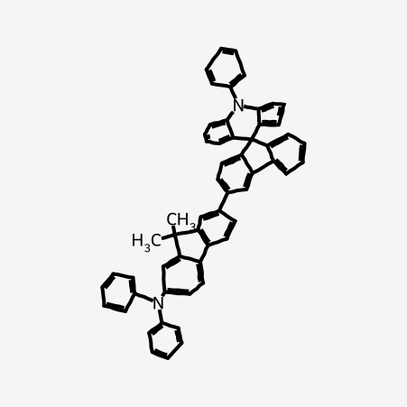 CC1(C)c2cc(-c3ccc4c(c3)-c3ccccc3C43c4ccccc4N(c4ccccc4)c4ccccc43)ccc2-c2ccc(N(c3ccccc3)c3ccccc3)cc21